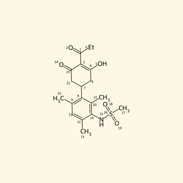 CCC(=O)C1=C(O)CC(c2c(C)cc(C)c(NS(C)(=O)=O)c2C)CC1=O